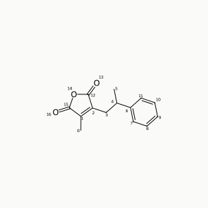 CC1=C(CC(C)c2ccccc2)C(=O)OC1=O